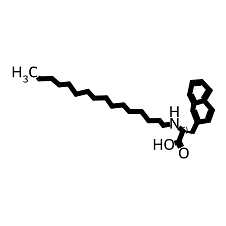 CCCCCCCCCCCCCCCCN[C@@H](Cc1ccc2ccccc2c1)C(=O)O